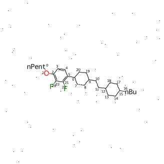 CCCCCOc1ccc(C2CCC(CCC3CCC(CCCC)CC3)CC2)c(F)c1F